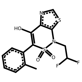 Cc1ccccc1C1=C(O)c2ncsc2N(CC(F)F)S1(=O)=O